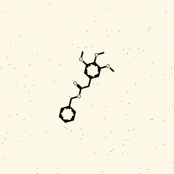 COc1cc(CC(=O)OCc2ccccc2)cc(OC)c1OC